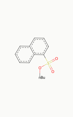 CCCCOS(=O)(=O)c1cccc2ccccc12